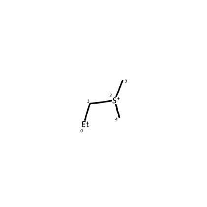 CCC[S+](C)C